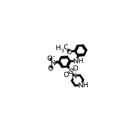 COc1ccccc1Nc1ccc([N+](=O)[O-])cc1S(=O)(=O)N1CCNCC1